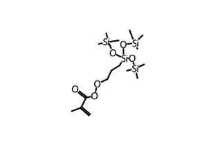 C=C(C)C(=O)OOCCC[Si](O[Si](C)(C)C)(O[Si](C)(C)C)O[Si](C)(C)C